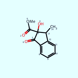 COC(=O)C1(O)C(=O)c2ccccc2C1C